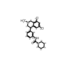 CN1Cc2c(Cl)cc(Cl)cc2C(c2cccc(NC(=O)N3CCCCC3)c2)C1